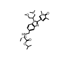 CC[C@H](NCc1ccc2c(c1)nc(-c1cc(C)c(=O)n(C)c1)n2C(COC)CP(C)C)C(=O)OC(C)C